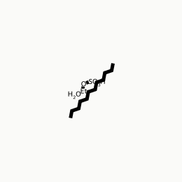 CCCCCCCCCCCC.CCOS(=O)(=O)O.O